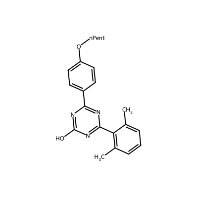 CCCCCOc1ccc(-c2nc(O)nc(-c3c(C)cccc3C)n2)cc1